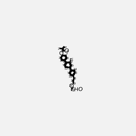 C=C(C)C(=O)Oc1ccc(-c2ccc(-c3ccc(CCCOC=O)cc3)cc2F)cc1